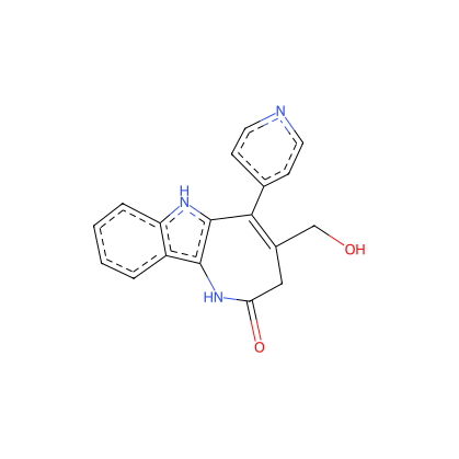 O=C1CC(CO)=C(c2ccncc2)c2[nH]c3ccccc3c2N1